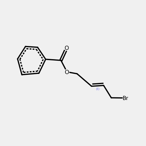 O=C(OC/C=C/CBr)c1ccccc1